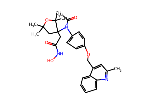 Cc1cc(COc2ccc(N(C(=O)C(F)(F)F)C3(CC(=O)NO)CC(C)(C)OC3(C)C)cc2)c2ccccc2n1